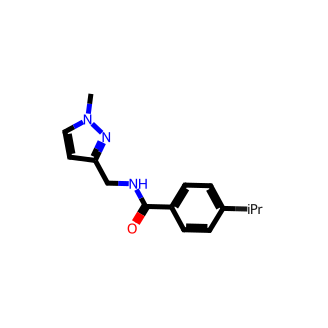 CC(C)c1ccc(C(=O)NCc2ccn(C)n2)cc1